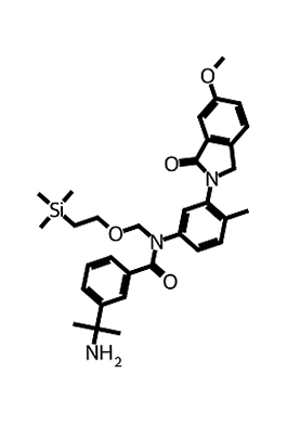 COc1ccc2c(c1)C(=O)N(c1cc(N(COCC[Si](C)(C)C)C(=O)c3cccc(C(C)(C)N)c3)ccc1C)C2